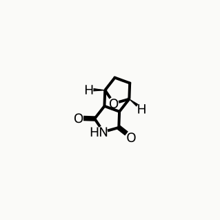 O=C1NC(=O)C2C1[C@@H]1CC[C@H]2O1